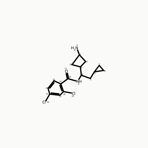 NC1CC(C(CC2CC2)NC(=O)c2ccc(Cl)cc2Cl)C1